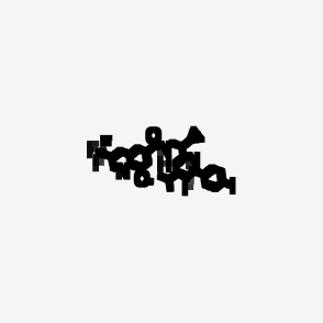 COc1cc(C(=O)NCC(c2cc(C(C)C)c(F)c(-c3ccc(I)cc3)n2)C2CC2)cc2cc(C(F)(F)F)cnc12